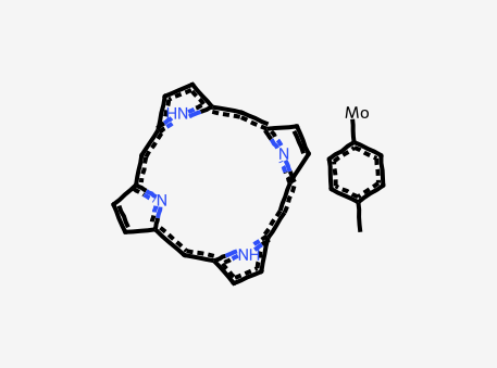 C1=Cc2cc3ccc(cc4nc(cc5ccc(cc1n2)[nH]5)C=C4)[nH]3.Cc1cc[c]([Mo])cc1